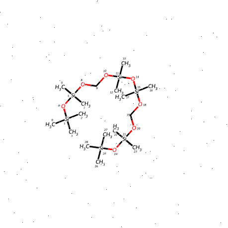 C[Si](C)(C)O[Si](C)(C)OCO[Si](C)(C)O[Si](C)(C)OCO[Si](C)(C)O[Si](C)(C)C